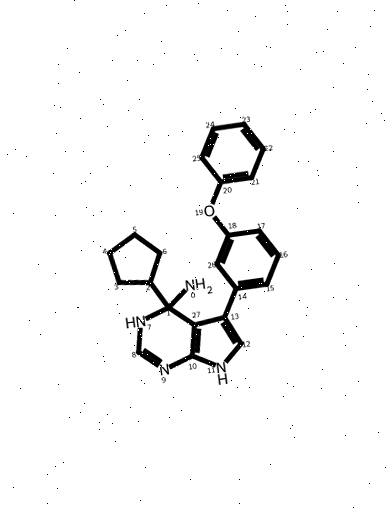 NC1(C2CCCC2)NC=Nc2[nH]cc(-c3cccc(Oc4ccccc4)c3)c21